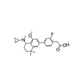 COc1cc(-c2ccc(CC(=O)O)c(F)c2)cc2c1C(N(C)C1CC1)CCC2(C)C